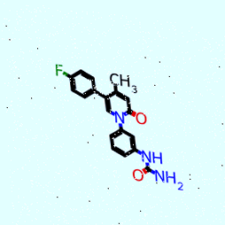 Cc1cc(=O)n(-c2cccc(NC(N)=O)c2)cc1-c1ccc(F)cc1